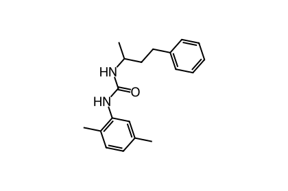 Cc1ccc(C)c(NC(=O)NC(C)CCc2ccccc2)c1